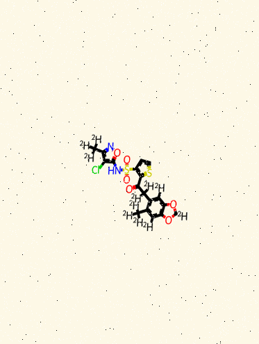 [2H]c1c2c(c([2H])c(C([2H])([2H])C(=O)c3sccc3S(=O)(=O)Nc3onc(C([2H])([2H])[2H])c3Cl)c1C([2H])([2H])[2H])OC([2H])O2